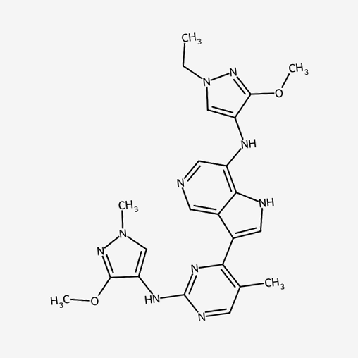 CCn1cc(Nc2cncc3c(-c4nc(Nc5cn(C)nc5OC)ncc4C)c[nH]c23)c(OC)n1